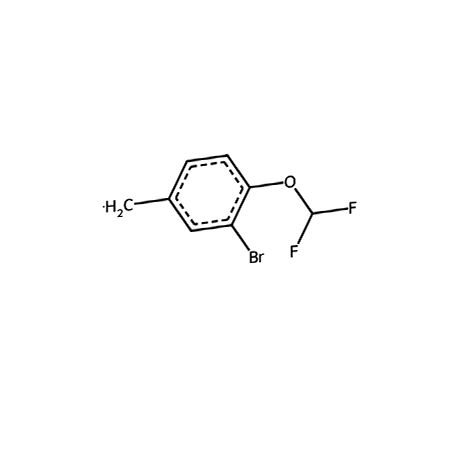 [CH2]c1ccc(OC(F)F)c(Br)c1